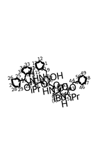 CC[C@H](C)[C@H](NC(=O)C[C@H](O)[C@H](Cc1ccccc1)NC(=O)C(NC(=O)C(c1ccccc1)c1ccccc1)C(C)C)C(=O)NC(C(=O)OCc1ccccc1)C(C)C